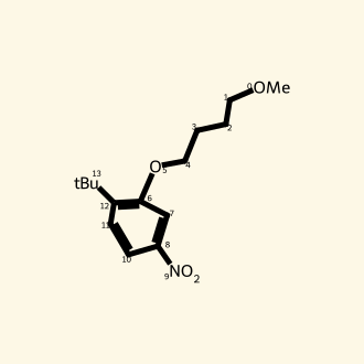 COCCCCOc1cc([N+](=O)[O-])ccc1C(C)(C)C